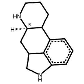 c1cc2c3c(c1)C1CCCN[C@@H]1CC3CN2